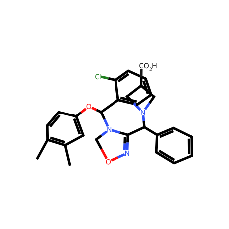 Cc1ccc(OC(c2ccccc2Cl)N2CON=C2C(c2ccccc2)N2CC(C(=O)O)C2)cc1C